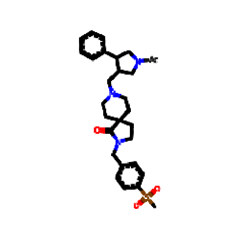 CC(=O)N1CC(CN2CCC3(CC2)CCN(Cc2ccc(S(C)(=O)=O)cc2)C3=O)C(c2ccccc2)C1